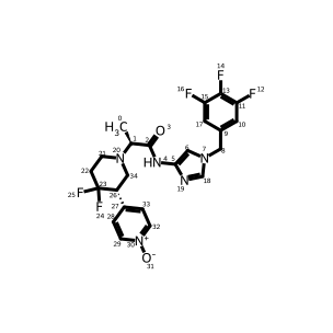 C[C@@H](C(=O)Nc1cn(Cc2cc(F)c(F)c(F)c2)cn1)N1CCC(F)(F)[C@@H](c2cc[n+]([O-])cc2)C1